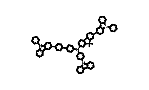 CC1(C)c2cc(-c3ccc4c(c3)c3ccccc3n4-c3ccccc3)ccc2-c2ccc(N(c3ccc(-c4ccc(-c5ccc6c(c5)c5ccccc5n6-c5ccccc5)cc4)cc3)c3ccc(-n4c5ccccc5c5ccccc54)cc3)cc21